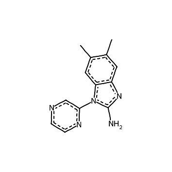 Cc1cc2nc(N)n(-c3cnccn3)c2cc1C